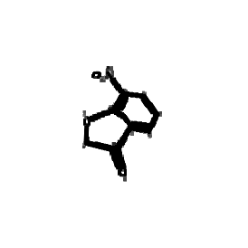 O=C1COc2c1cccc2[N+](=O)[O-]